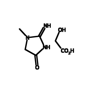 CN1CC(=O)NC1=N.O=C(O)CO